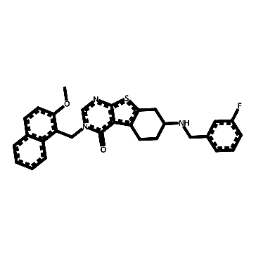 COc1ccc2ccccc2c1Cn1cnc2sc3c(c2c1=O)CCC(NCc1cccc(F)c1)C3